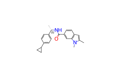 Cc1cc2ccc(C(=O)N[C@@H](C)c3ccc(C4CC4)cc3)cc2n1C